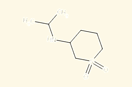 CC(C)NC1CCCS(=O)(=O)C1